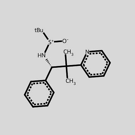 CC(C)(c1ccccn1)[C@@H](N[S+]([O-])C(C)(C)C)c1ccccc1